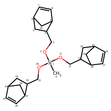 C[Si](OCC1CC2C=CC1C2)(OCC1CC2C=CC1C2)OCC1CC2C=CC1C2